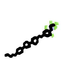 CCCCCC1CCC(C2CCC(C3CCC(CCc4cc(F)c(/C=C/C(F)(F)F)c(F)c4)CC3)CC2)CC1